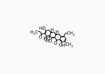 CCC(=O)C1=C(O)C[C@@H]2C[C@@H]3Cc4c(CC)cc(C)c(O)c4C(=O)C3=C(O)[C@]2(O)C1=O